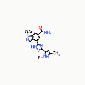 CCn1nc(C)cc1-c1n[nH]c(-c2cc(C(N)=O)cc3c2cnn3OC(C)=O)n1